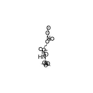 CCO[Si](CCCNC(=O)C[n+]1ccc(/C=C/c2ccc3c(c2)c2ccccc2n3CCOCCOC)c2ccccc21)(OC)OCC